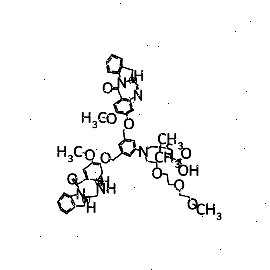 COCCOCCOCCN(CC(C)(C)SCC(=O)O)c1cc(COC2=C(OC)C=C3C(=O)N4c5ccccc5C[C@H]4CN[C@H]3C2)cc(COc2cc3c(cc2OC)C(=O)N2c4ccccc4C[C@H]2C=N3)c1